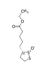 C[CH]OC(=O)CCCC[C@H]1CCS[S+]1[O-]